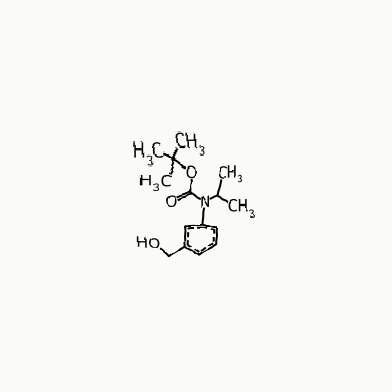 CC(C)N(C(=O)OC(C)(C)C)c1cccc(CO)c1